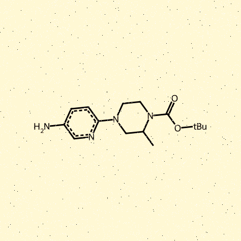 CC1CN(c2ccc(N)cn2)CCN1C(=O)OC(C)(C)C